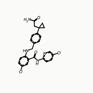 NC(=O)CC1(c2ccc(CNc3ccc(Cl)cc3C(=O)Nc3ccc(Cl)cn3)cc2)CC1